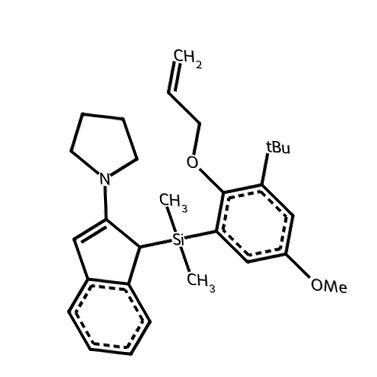 C=CCOc1c(C(C)(C)C)cc(OC)cc1[Si](C)(C)C1C(N2CCCC2)=Cc2ccccc21